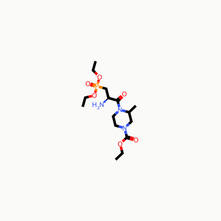 CCOC(=O)N1CCN(C(=O)[C@@H](N)CP(=O)(OCC)OCC)C(C)C1